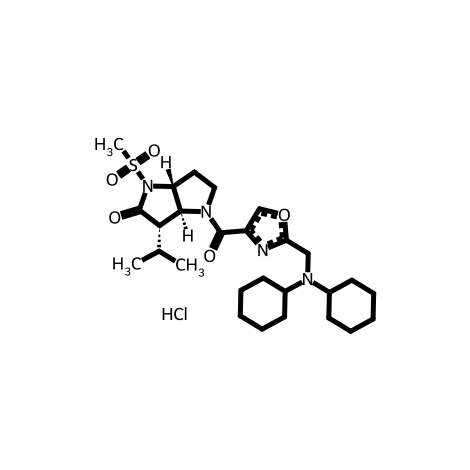 CC(C)[C@@H]1C(=O)N(S(C)(=O)=O)[C@@H]2CCN(C(=O)c3coc(CN(C4CCCCC4)C4CCCCC4)n3)[C@H]21.Cl